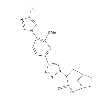 COc1cc(-c2cn(C3CC4CCC(C4)NC3=O)nn2)ccc1-n1cnc(C)c1